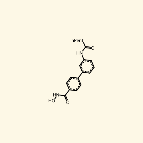 CCCCCC(=O)Nc1cccc(-c2ccc(C(=O)NO)cc2)c1